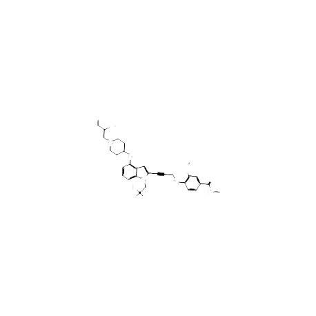 CNC(=O)c1ccc(NCC#Cc2cc3c(NC4CCN(CC(O)CO)CC4)cccc3n2CC(F)(F)F)c(OC)c1